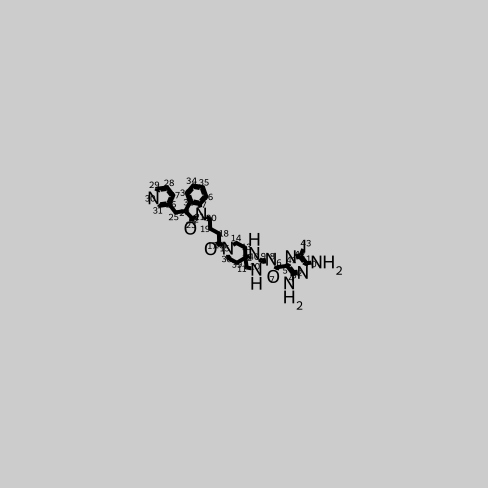 Nc1nc(N)c(C(=O)/N=C2\NCC3(CCN(C(=O)CCCN4C(=O)C(Cc5cccnc5)c5ccccc54)CC3)N2)nc1I